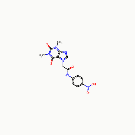 Cn1c(=O)c2c(ncn2CC(=O)Nc2ccc([NH+]([O-])O)cc2)n(C)c1=O